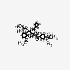 COc1ccccc1Oc1c(NS(=O)(=O)c2ccc(C(C)(C)C)cc2)nc(-c2cccs2)nc1OC[C@H](O)CO